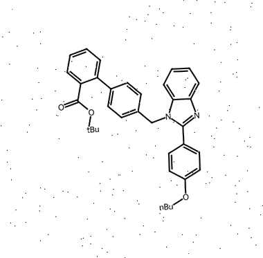 CCCCOc1ccc(-c2nc3ccccc3n2Cc2ccc(-c3ccccc3C(=O)OC(C)(C)C)cc2)cc1